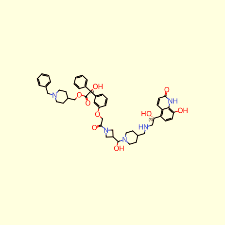 O=C(COc1cccc([C@](O)(C(=O)OCC2CCN(Cc3ccccc3)CC2)c2ccccc2)c1)N1CC(C(O)N2CCC(CNC[C@H](O)c3ccc(O)c4[nH]c(=O)ccc34)CC2)C1